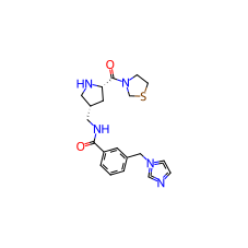 O=C(NC[C@@H]1CN[C@H](C(=O)N2CCSC2)C1)c1cccc(Cn2ccnc2)c1